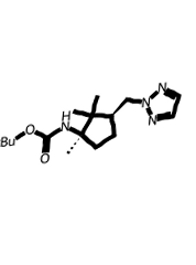 CC(C)(C)OC(=O)N[C@]1(C)CC[C@H](Cn2nccn2)C1(C)C